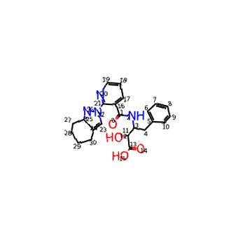 O=C(NC(Cc1ccccc1)C(O)C(=O)O)c1cccnc1-n1cc2c(n1)CCCC2